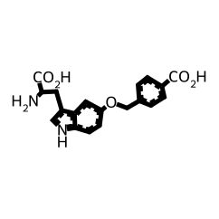 NC(Cc1c[nH]c2ccc(OCc3ccc(C(=O)O)cc3)cc12)C(=O)O